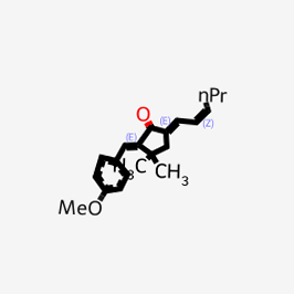 CCC/C=C\C=C1/CC(C)(C)/C(=C\c2ccc(OC)cc2)C1=O